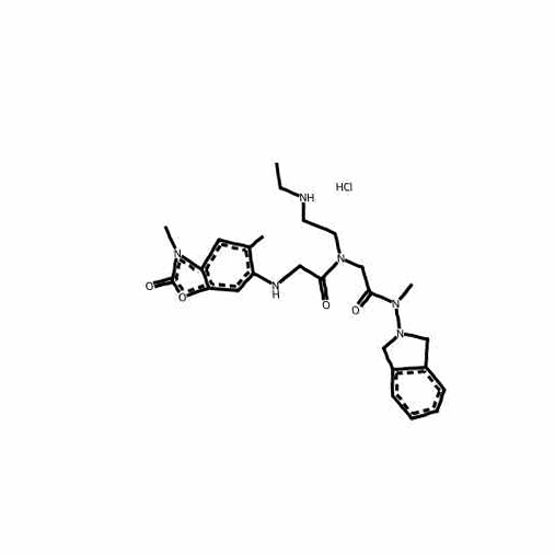 CCNCCN(CC(=O)N(C)N1Cc2ccccc2C1)C(=O)CNc1cc2oc(=O)n(C)c2cc1C.Cl